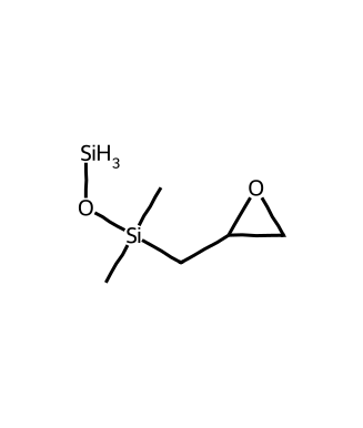 C[Si](C)(CC1CO1)O[SiH3]